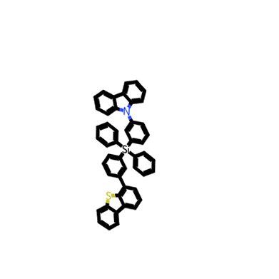 c1ccc([Si](c2ccccc2)(c2cccc(-c3cccc4c3sc3ccccc34)c2)c2cccc(-n3c4ccccc4c4ccccc43)c2)cc1